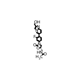 CC(=O)NC[C@H]1CN(c2ccc(-c3ccc4nc(CO)cn4c3)c(F)c2)C(=O)O1